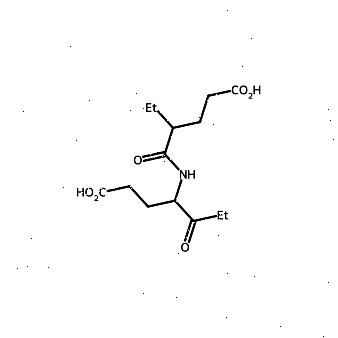 CCC(=O)C(CCC(=O)O)NC(=O)C(CC)CCC(=O)O